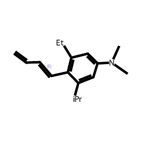 C=C/C=C/c1c(CC)cc(N(C)C)cc1C(C)C